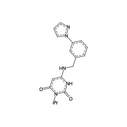 CC(C)n1c(=O)cc(NCc2cccc(-n3cccn3)c2)[nH]c1=O